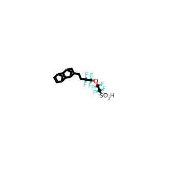 O=S(=O)(O)C(F)(F)C(F)(F)OC(F)(F)C(F)(F)CCC1CC2CC1C1C3C=CC(C3)C21